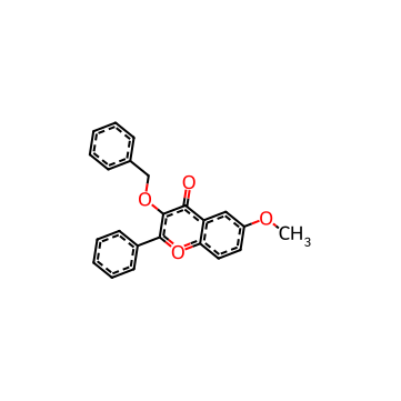 COc1ccc2oc(-c3ccccc3)c(OCc3ccccc3)c(=O)c2c1